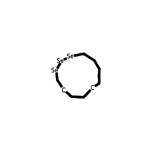 C1CCCC[Se][Se][Se]CCCC1